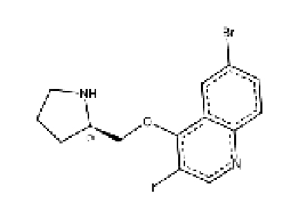 Brc1ccc2ncc(I)c(OC[C@H]3CCCN3)c2c1